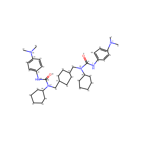 CN(C)c1ccc(NC(=O)N(CC2CCC(CN(C(=O)Nc3ccc(N(C)C)cc3)C3CCCCC3)CC2)C2CCCCC2)cc1